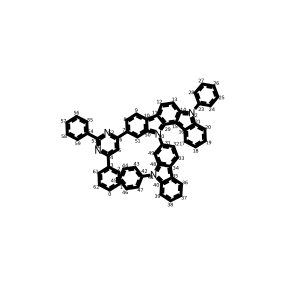 c1ccc(-c2cc(-c3ccc4c5ccc6c(c7ccccc7n6-c6ccccc6)c5n(-c5ccc6c7ccccc7n(-c7ccccc7)c6c5)c4c3)nc(-c3ccccc3)n2)cc1